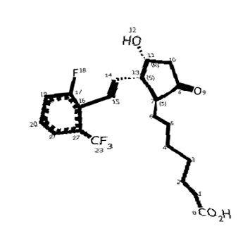 O=C(O)CCCCCC[C@@H]1C(=O)C[C@@H](O)[C@H]1C=Cc1c(F)cccc1C(F)(F)F